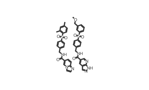 COCc1cccc(S(=O)(=O)c2ccc(CNC(=O)c3cnc4[nH]ncc4c3)cc2)c1.Cc1ccc(S(=O)(=O)c2ccc(CNC(=O)c3ccc4nccn4c3)cc2)c(C)c1